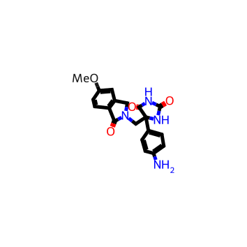 COc1ccc2c(c1)CN(CC1(c3ccc(N)cc3)NC(=O)NC1=O)C2=O